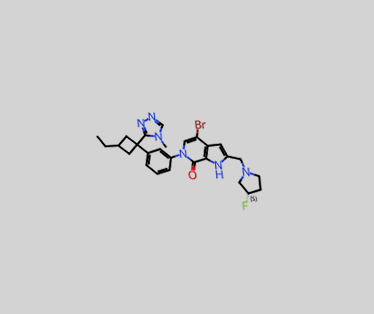 CCC1CC(c2cccc(-n3cc(Br)c4cc(CN5CC[C@H](F)C5)[nH]c4c3=O)c2)(c2nncn2C)C1